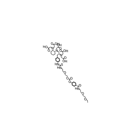 CCOCCOCCNC(=O)c1ccc(OC(=O)OCCOCCNC(=S)Nc2ccc(C[C@@H](CN(CC(=O)O)[C@@H]3CCCC[C@H]3N(CC(=O)O)CC(=O)O)N(CC(=O)O)CC(=O)O)cc2)cc1